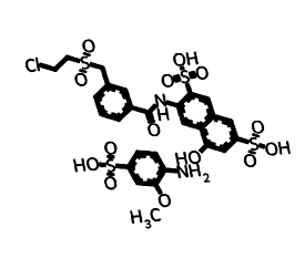 COc1cc(S(=O)(=O)O)ccc1N.O=C(Nc1cc2c(O)cc(S(=O)(=O)O)cc2cc1S(=O)(=O)O)c1cccc(CS(=O)(=O)CCCl)c1